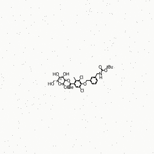 CO[C@H]1O[C@H](CO)[C@@H](O)[C@H](O)[C@H]1OC(=O)c1cc(Cl)c(OCc2cccc(CNC(=O)OC(C)(C)C)c2)c(Cl)c1C